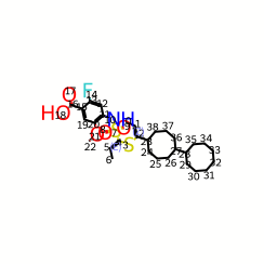 C/C=C(\S/C(=C\C)S(=O)(=O)Nc1cc(F)c(C(=O)O)cc1OC)C1CCCC(C2CCCCCCC2)CCC1